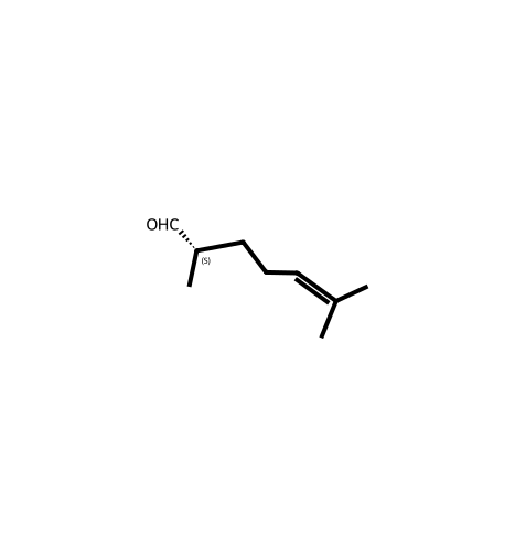 CC(C)=CCC[C@H](C)C=O